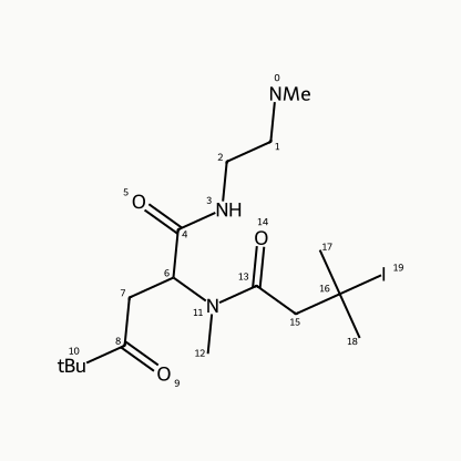 CNCCNC(=O)C(CC(=O)C(C)(C)C)N(C)C(=O)CC(C)(C)I